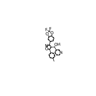 Cc1ccc(-c2onc(-c3ccc4c(c3)OC(F)(F)O4)c2C(O)c2cccnc2)cc1